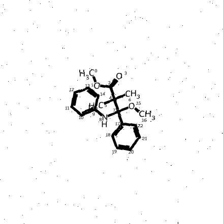 COC(=O)C(C)(C)C(Nc1ccccc1)(OC)c1ccccc1